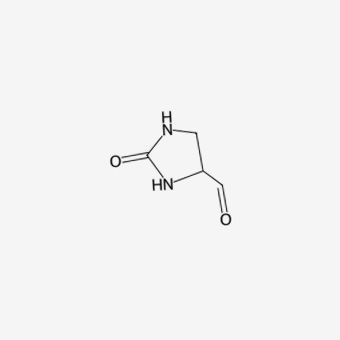 O=CC1CNC(=O)N1